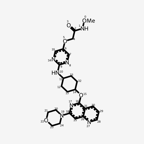 CONC(=O)COc1cnc(NC2CCC(Oc3nc(N4CCOCC4)cc4ncccc34)CC2)nc1